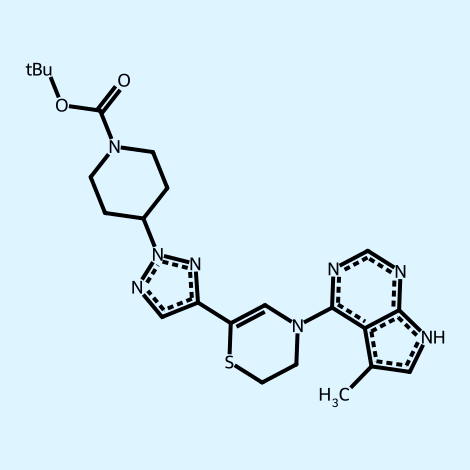 Cc1c[nH]c2ncnc(N3C=C(c4cnn(C5CCN(C(=O)OC(C)(C)C)CC5)n4)SCC3)c12